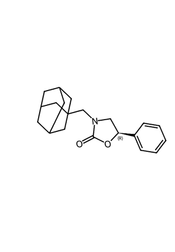 O=C1O[C@H](c2ccccc2)CN1CC12CC3CC(CC(C3)C1)C2